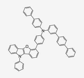 c1ccc(-c2ccc(-c3cccc(N(c4ccc(-c5ccccc5)cc4)c4ccc(-c5cccc6c5oc5c7ccccc7n(-c7ccccc7)c65)cc4)c3)cc2)cc1